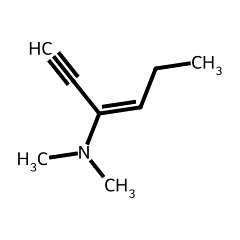 C#C/C(=C\CC)N(C)C